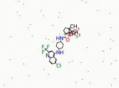 CC1(C)[C@]2(C)CC[C@]1(C(=O)NC1CCC(Nc3cc(C(F)(F)F)nc4ccc(Cl)cc34)CC1)OC2=O